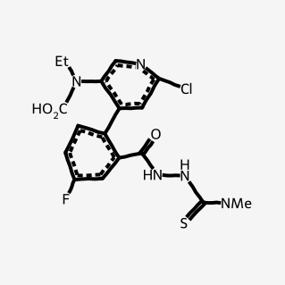 CCN(C(=O)O)c1cnc(Cl)cc1-c1ccc(F)cc1C(=O)NNC(=S)NC